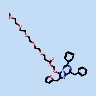 COCCOCCOCCOCCOCCC(=O)OCOc1c(Cc2ccco2)nc2c(Cc3ccccc3)nc(-c3ccccc3)cn12